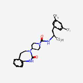 O=C(O)C(Cc1cc(C(F)(F)F)cc(C(F)(F)F)c1)NC(=O)N1CCC(N2CCc3ccccc3NC2=O)CC1